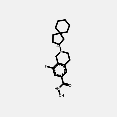 O=C(NO)c1cc(F)c2c(c1)CCN([C@H]1CCC3(CCCCC3)C1)C2